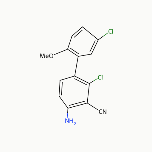 COc1ccc(Cl)cc1-c1ccc(N)c(C#N)c1Cl